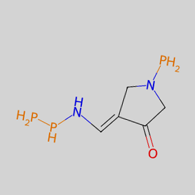 O=C1CN(P)CC1=CNPP